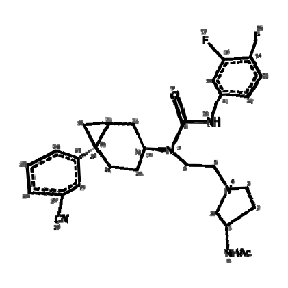 CC(=O)NC1CCN(CCN(C(=O)Nc2ccc(F)c(F)c2)[C@H]2CC[C@@]3(c4cccc(C#N)c4)CC3C2)C1